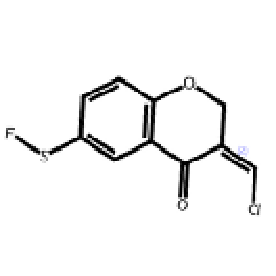 O=C1/C(=C\Cl)COc2ccc(SF)cc21